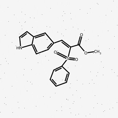 COC(=O)C(=Cc1ccc2[nH]ccc2c1)S(=O)(=O)c1ccccc1